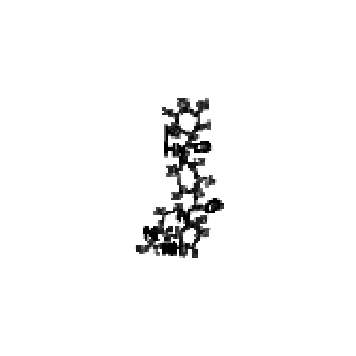 Cc1nc2c([nH]1)-c1ccccc1N(C(=O)c1ccc(NC(=O)c3ccccc3F)cc1)CC2